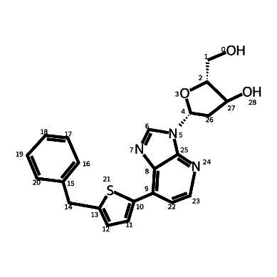 OC[C@H]1O[C@@H](n2cnc3c(-c4ccc(Cc5ccccc5)s4)ccnc32)CC1O